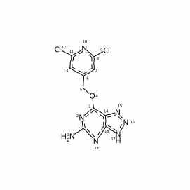 Nc1nc(OCc2cc(Cl)nc(Cl)c2)c2nn[nH]c2n1